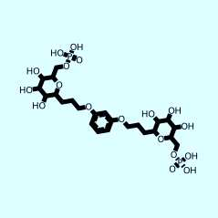 O=P(O)(O)OCC1OC(CCCOc2cccc(OCCCC3OC(COP(=O)(O)O)C(O)C(O)C3O)c2)C(O)C(O)C1O